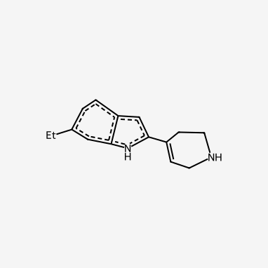 CCc1ccc2cc(C3=CCNCC3)[nH]c2c1